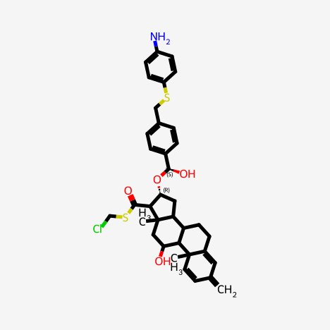 C=C1C=CC2(C)C(=C1)CCC1C2C(O)CC2(C)C1C[C@@H](O[C@H](O)c1ccc(CSc3ccc(N)cc3)cc1)C2C(=O)SCCl